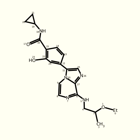 CCOC(C)CNc1nccn2c(-c3ccc(C(=O)NC4CC4)c(O)c3)cnc12